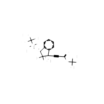 CC(C)(C)OC(=O)C#C[C@]1(O)c2ccccc2[C@@H](O[Si](C)(C)C(C)(C)C)C1(F)F